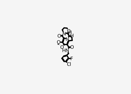 [CH2]Oc1c2n3c(c(C(=O)NCc4cccc(Cl)c4F)c1=O)CC[C@@H]3[C@@H]1OCCCN1C2=O